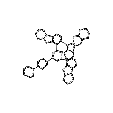 c1ccc(-c2ccc(-c3nc(-c4cccc5c4oc4ccccc45)nc(-c4c(-n5c6ccccc6c6cc7ccccc7cc65)ccc5c4oc4ccccc45)n3)cc2)cc1